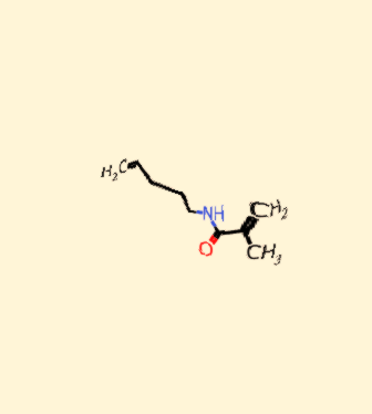 C=CCCCNC(=O)C(=C)C